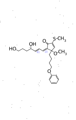 COC1(CCCCOc2ccccc2)C=C(SC)C(=O)/C1=C\C=C\C(O)CCCO